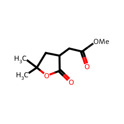 COC(=O)CC1CC(C)(C)OC1=O